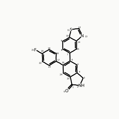 O=C1NCc2cc(-c3ccc4scnc4c3)c(-c3ccc(F)cc3)cc21